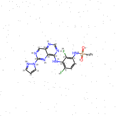 CCCS(=O)(=O)Nc1ccc(F)c(Nc2ncnc3cnc(-n4cccn4)nc23)c1F